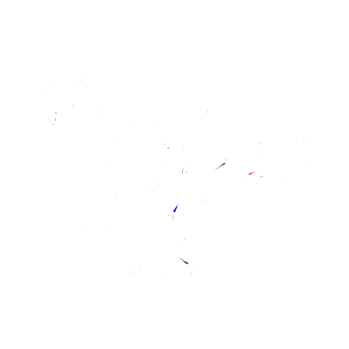 CC(C)(C)OC(=O)N1C[C@H](N2C[C@@H]3C[C@H]3c3cc(Cl)cc(-c4ccnc5cc(CO[Si](C)(C)C(C)(C)C)sc45)c32)C[C@@H]1CO[C@@H]1CCCCO1